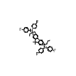 CCCC1(N(c2ccc(F)cc2)c2ccc(F)cc2)c2cc3c(cc21)C(C)(C)c1cc2c(cc1-3)CC2(CC)N(c1ccc(F)cc1)c1ccc(F)cc1